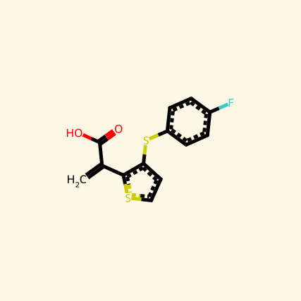 C=C(C(=O)O)c1sccc1Sc1ccc(F)cc1